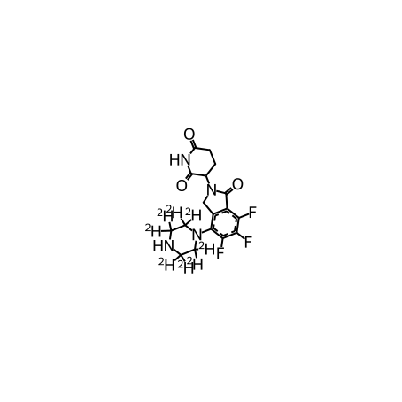 [2H]C1([2H])NC([2H])([2H])C([2H])([2H])N(c2c(F)c(F)c(F)c3c2CN(C2CCC(=O)NC2=O)C3=O)C1([2H])[2H]